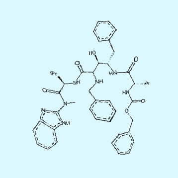 CC(C)[C@H](NC(=O)OCc1ccccc1)C(=O)N[C@@H](Cc1ccccc1)[C@H](O)C(NCc1ccccc1)C(=O)N[C@@H](C(=O)N(C)c1nc2ccccc2[nH]1)C(C)C